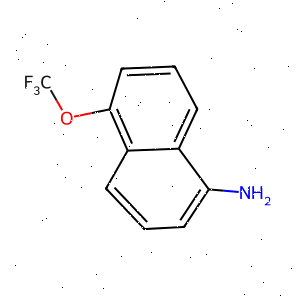 Nc1cccc2c(OC(F)(F)F)cccc12